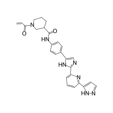 C=CC(=O)N1CCCC(C(=O)Nc2ccc(-c3cnc(-c4cccc(-c5ccn[nH]5)n4)[nH]3)cc2)C1